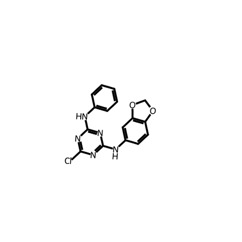 Clc1nc(Nc2ccccc2)nc(Nc2ccc3c(c2)OCO3)n1